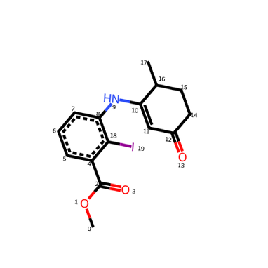 COC(=O)c1cccc(NC2=CC(=O)CCC2C)c1I